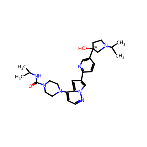 CC(C)NC(=O)N1CCN(c2ccnn3cc(-c4ccc([C@]5(O)CCN(C(C)C)C5)cn4)cc23)CC1